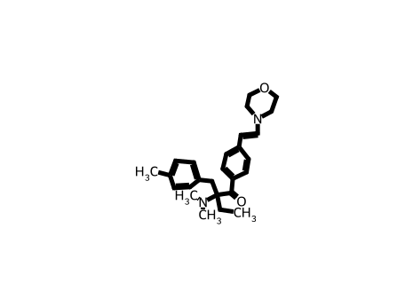 CCC(Cc1ccc(C)cc1)(C(=O)c1ccc(C=CN2CCOCC2)cc1)N(C)C